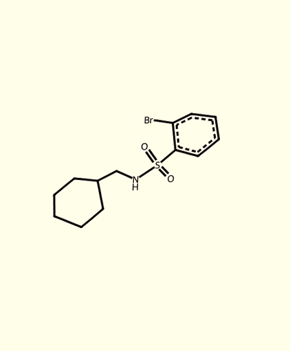 O=S(=O)(NCC1CCCCC1)c1ccccc1Br